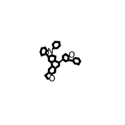 c1ccc(-n2c3ccccc3c3cc4c(cc32)c(-c2ccc3oc5ccccc5c3c2)cc2cc3occc3cc24)cc1